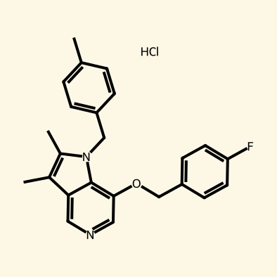 Cc1ccc(Cn2c(C)c(C)c3cncc(OCc4ccc(F)cc4)c32)cc1.Cl